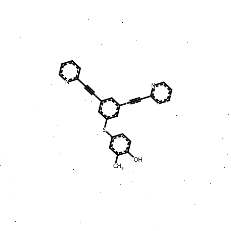 Cc1cc(Sc2cc(C#Cc3ccccn3)cc(C#Cc3ccccn3)c2)ccc1O